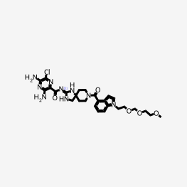 COCCOCOCCn1ccc2c(C(=O)N3CCC4(CC3)CN/C(=N\C(=O)c3nc(Cl)c(N)nc3N)N4)cccc21